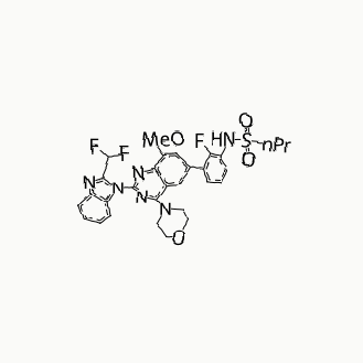 CCCS(=O)(=O)Nc1cccc(-c2cc(OC)c3nc(-n4c(C(F)F)nc5ccccc54)nc(N4CCOCC4)c3c2)c1F